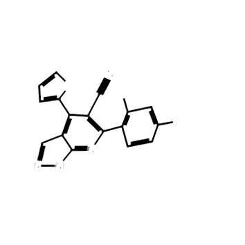 N#Cc1c(-c2ccc(O)cc2F)nc2[nH]ncc2c1-c1ccco1